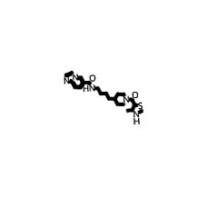 CC1NCSC1C(=O)N1CCC(CCCCNC(=O)c2ccc3nccn3c2)CC1